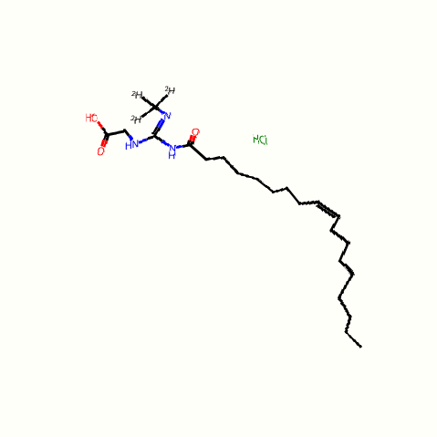 Cl.[2H]C([2H])([2H])N=C(NCC(=O)O)NC(=O)CCCCCCC/C=C\CCCCCCCC